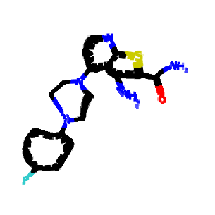 NC(=O)c1sc2nccc(N3CCN(c4ccc(F)cc4)CC3)c2c1N